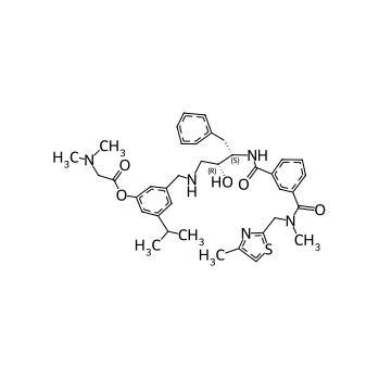 Cc1csc(CN(C)C(=O)c2cccc(C(=O)N[C@@H](Cc3ccccc3)[C@H](O)CNCc3cc(OC(=O)CN(C)C)cc(C(C)C)c3)c2)n1